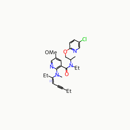 CCC#C/C=C(/CC)N(C)c1ncc(OC)cc1C(=O)N(CC)C(C)COc1ccc(Cl)cn1